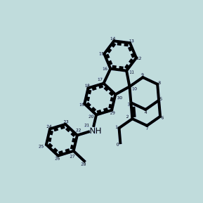 CCC1=C2CC(CC1)CCC21c2ccccc2-c2ccc(Nc3ccccc3C)cc21